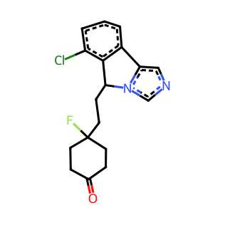 O=C1CCC(F)(CCC2c3c(Cl)cccc3-c3cncn32)CC1